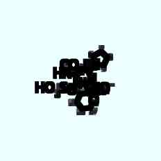 CCOC(=O)Nc1cc(N2CCCC2)nc(C2(CC)CCCCO2)[n+]1OS(=O)(=O)O.[OH-]